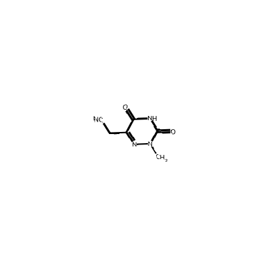 Cn1nc(CC#N)c(=O)[nH]c1=O